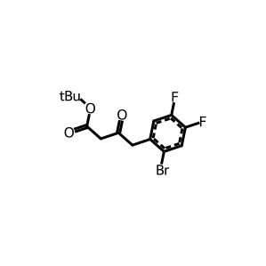 CC(C)(C)OC(=O)CC(=O)Cc1cc(F)c(F)cc1Br